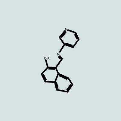 Oc1ccc2ccccc2c1C=Nc1cccnc1